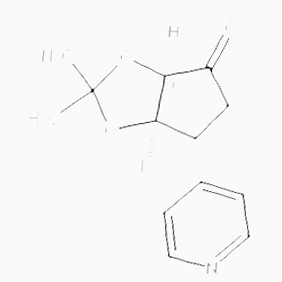 CC1(C)O[C@@H]2[C@@H](c3ccncc3)CC(=O)[C@@H]2O1